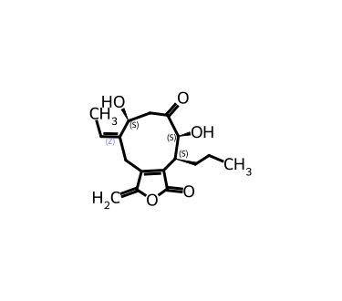 C=C1OC(=O)C2=C1C/C(=C/C)[C@@H](O)CC(=O)[C@@H](O)[C@H]2CCC